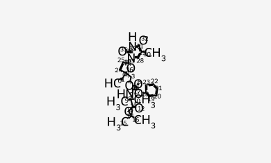 C#C[C@@]1(CO[P@](=O)(NC(C)(C)C(=O)OC(C)C)Oc2ccccc2)C=C[C@H](n2cc(C)c(=O)[nH]c2=O)O1